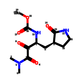 CN(C)C(=O)C(=O)[C@H](C[C@@H]1CCNC1=O)NC(=O)OC(C)(C)C